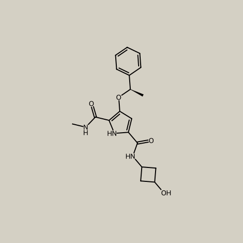 CNC(=O)c1[nH]c(C(=O)NC2CC(O)C2)cc1O[C@H](C)c1ccccc1